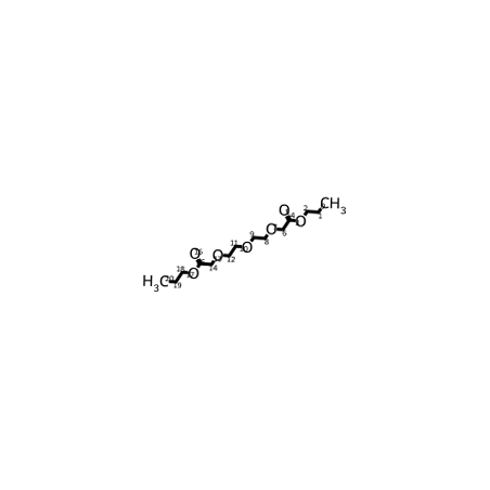 CCCOC(=O)COCCOCCOCC(=O)OCCC